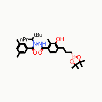 CCCC(N(NC(=O)c1ccc(CCCB2OC(C)(C)C(C)(C)O2)c(O)c1C)C(=O)c1cc(C)cc(C)c1)C(C)(C)C